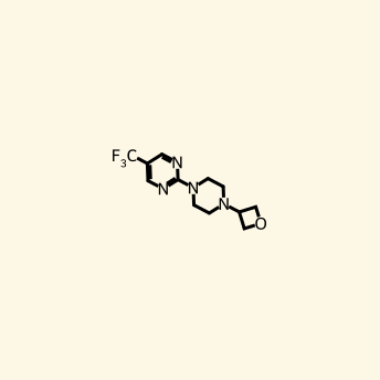 FC(F)(F)c1cnc(N2CCN(C3COC3)CC2)nc1